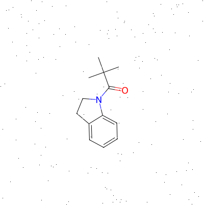 CC(C)(C)C(=O)N1CCc2ccccc21